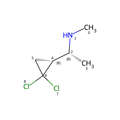 CN[C@H](C)[C@H]1CC1(Cl)Cl